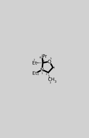 CCN1[C@@H](C)CO[C@]1(CC)C(C)C